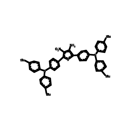 CC(C)(C)c1ccc(N(c2ccc(-c3sc(-c4ccc(N(c5ccc(C(C)(C)C)cc5)c5ccc(C(C)(C)C)cc5)cc4)c([N+](=O)[O-])c3N)cc2)c2ccc(C(C)(C)C)cc2)cc1